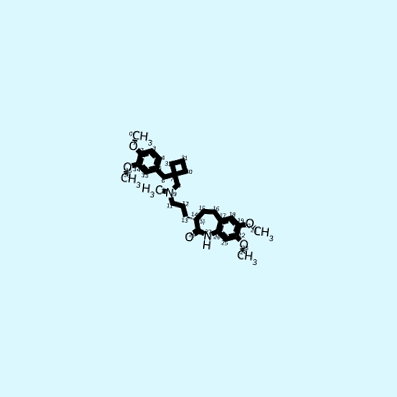 COc1ccc(CC2(CN(C)CCC[C@@H]3CCc4cc(OC)c(OC)cc4NC3=O)CCC2)cc1OC